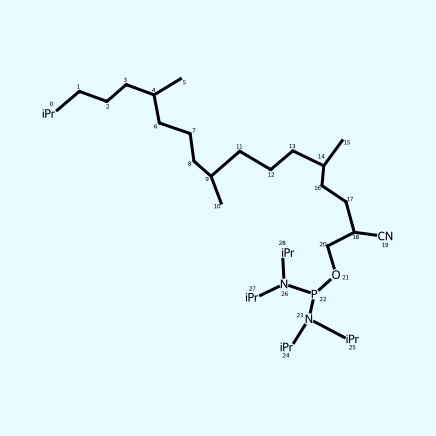 CC(C)CCCC(C)CCCC(C)CCCC(C)CCC(C#N)COP(N(C(C)C)C(C)C)N(C(C)C)C(C)C